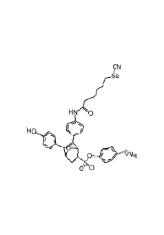 COc1ccc(OS(=O)(=O)C2CC3OC2C(c2ccc(NC(=O)CCCCC[Se]C#N)cc2)=C3c2ccc(O)cc2)cc1